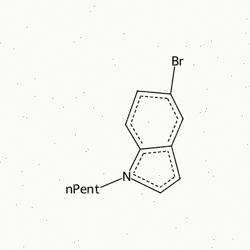 CCCCCn1ccc2cc(Br)ccc21